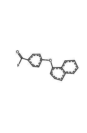 O=C(F)c1ccc(Oc2cccc3ccccc23)cc1